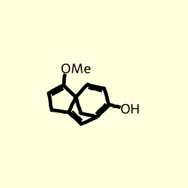 COC1=CCC2=CC3=C(O)C=CC21C3